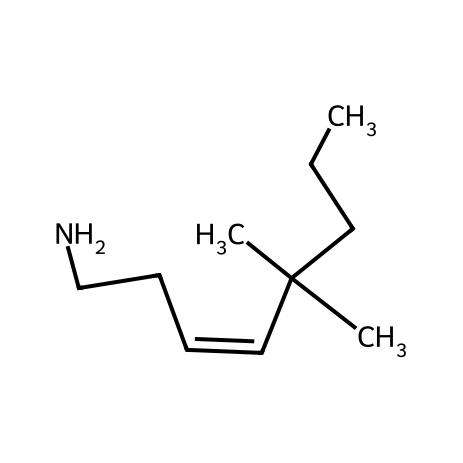 CCCC(C)(C)/C=C\CCN